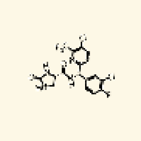 O=C1NC[C@@H](C(=O)N[C@@H](c2ccc(F)c(Cl)c2)c2ccc(Cl)c(C(F)(F)F)n2)N1